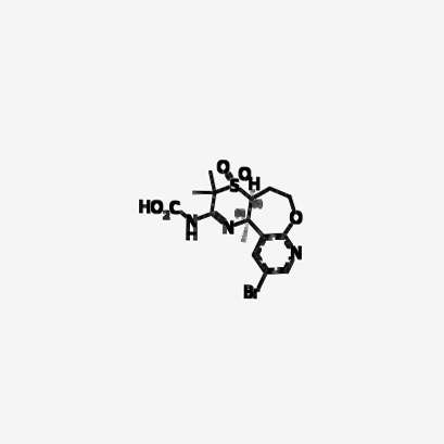 CC1(C)C(NC(=O)O)=N[C@]2(C)c3cc(Br)cnc3OCC[C@@H]2S1(=O)=O